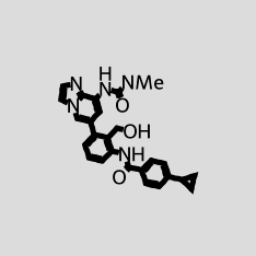 CNC(=O)Nc1cc(-c2cccc(NC(=O)c3ccc(C4CC4)cc3)c2CO)cn2ccnc12